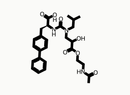 CC(=O)NCCOC(=O)C(O)CN(CC(C)C)C(=O)N[C@@H](Cc1ccc(-c2ccccc2)cc1)C(=O)O